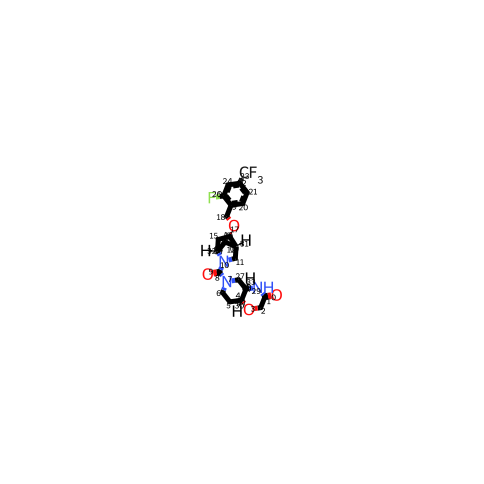 O=C1CO[C@H]2CCN(C(=O)N3C[C@H]4C[C@@H]3C[C@@H]4OCc3ccc(C(F)(F)F)cc3F)C[C@H]2N1